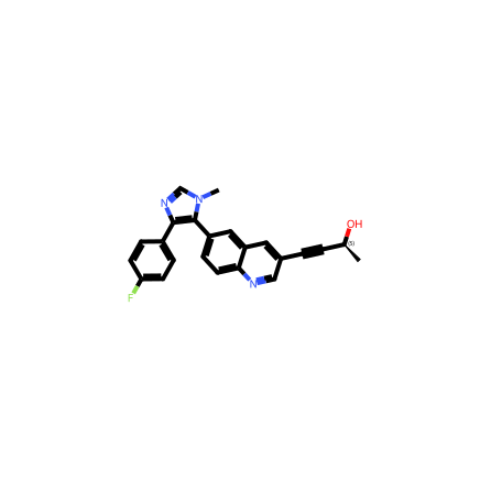 C[C@H](O)C#Cc1cnc2ccc(-c3c(-c4ccc(F)cc4)ncn3C)cc2c1